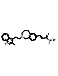 Cc1[nH]c2ccccc2c1CCN1CCCc2cc(C=CC(=O)NO)ccc2C1